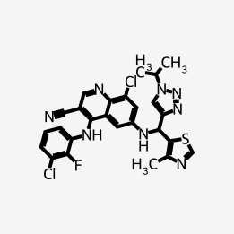 Cc1ncsc1C(Nc1cc(Cl)c2ncc(C#N)c(Nc3cccc(Cl)c3F)c2c1)c1cn(C(C)C)nn1